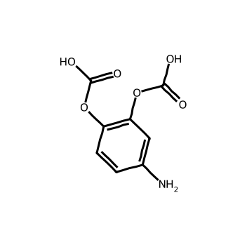 Nc1ccc(OC(=O)O)c(OC(=O)O)c1